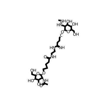 CNNC1C(O)[C@@H](O)C(CO)O[C@H]1OCCCCC(=N)NCCNC(=O)CCCCO[C@@H]1OC(CO)[C@H](O)C(O)C1NC(C)=O